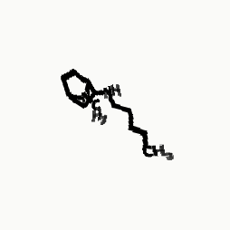 CCCCCNC1CC2CCC1N2C